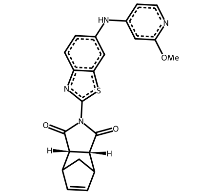 COc1cc(Nc2ccc3nc(N4C(=O)[C@@H]5C6C=CC(C6)[C@@H]5C4=O)sc3c2)ccn1